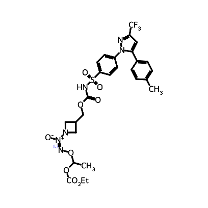 CCOC(=O)OC(C)O/N=[N+](/[O-])N1CC(COC(=O)NS(=O)(=O)c2ccc(-n3nc(C(F)(F)F)cc3-c3ccc(C)cc3)cc2)C1